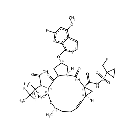 COc1cc(F)cc2c(O[C@@H]3C[C@H]4C(=O)N[C@]5(C(=O)NS(=O)(=O)C6(CF)CC6)C[C@H]5C=CCC[C@H](C)C[C@@H](C)[C@H](N(C(=O)O)C(C)(C)C(C)(F)F)C(=O)N4C3)nccc12